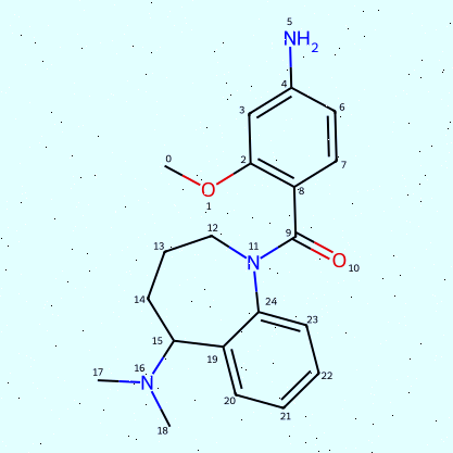 COc1cc(N)ccc1C(=O)N1CCCC(N(C)C)c2ccccc21